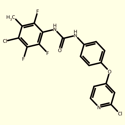 Cc1c(F)c(NC(=O)Nc2ccc(Oc3ccnc(Cl)c3)cc2)c(F)c(F)c1Cl